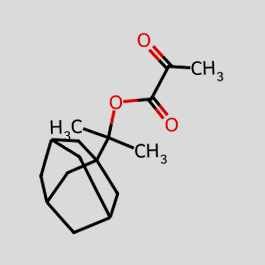 CC(=O)C(=O)OC(C)(C)C12CC3CC(CC(C3)C1)C2